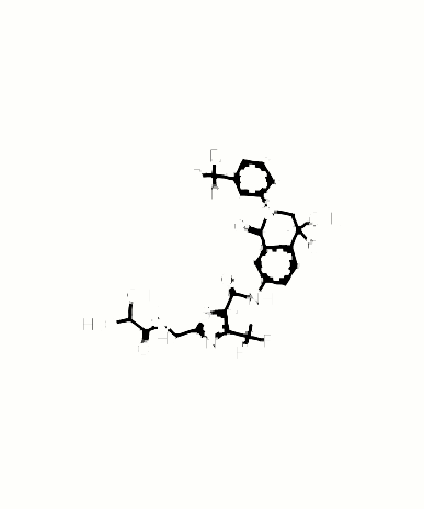 CC(C)C(=O)NCc1nc(C(F)(F)F)c(C(=O)Nc2ccc3c(c2)C(=O)N(c2cccc(C(F)(F)F)c2)CC3(C)C)s1